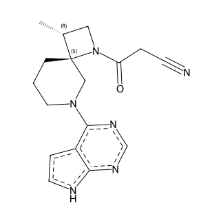 C[C@@H]1CN(C(=O)CC#N)[C@@]12CCCN(c1ncnc3[nH]ccc13)C2